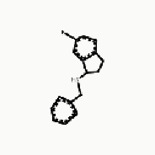 Fc1ccc2c(c1)C(NCc1ccccc1)CC2